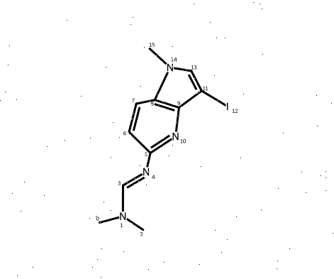 CN(C)/C=N/c1ccc2c(n1)c(I)cn2C